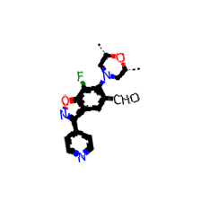 C[C@@H]1CN(c2c(C=O)cc3c(-c4ccncc4)noc3c2F)C[C@H](C)O1